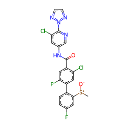 C[S+]([O-])c1cc(F)ccc1-c1cc(Cl)c(C(=O)Nc2cnc(-n3nccn3)c(Cl)c2)cc1F